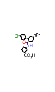 CCCC1CC[C@H](C(=O)Nc2cccc(C(=O)O)c2)[C@@H](c2ccc(Cl)cc2)C1